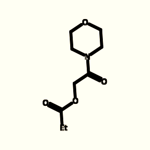 CCC(=O)OCC(=O)N1CCOCC1